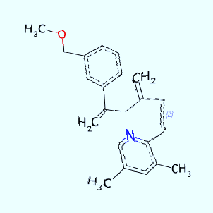 C=C(/C=C\c1ncc(C)cc1C)CC(=C)c1cccc(COC)c1